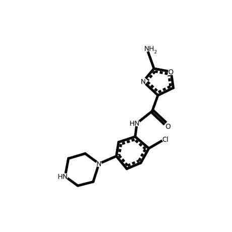 Nc1nc(C(=O)Nc2cc(N3CCNCC3)ccc2Cl)co1